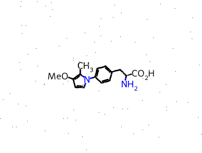 COc1ccn(-c2ccc(C[C@H](N)C(=O)O)cc2)c1C